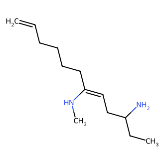 C=CCCCCC(=CCC(N)CC)NC